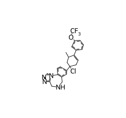 CC1CC(Cl)(c2ccc3c(c2)CNCc2nncn2-3)CC=C1c1cccc(OC(F)(F)F)c1